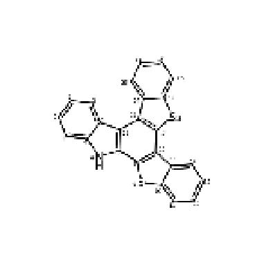 c1ccc2c(c1)[nH]c1c3sc4ccccc4c3c3sc4ccccc4c3c21